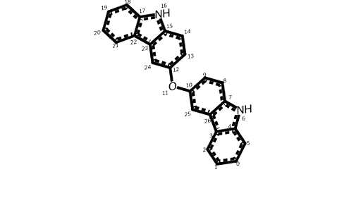 c1ccc2c(c1)[nH]c1ccc(Oc3ccc4[nH]c5ccccc5c4c3)cc12